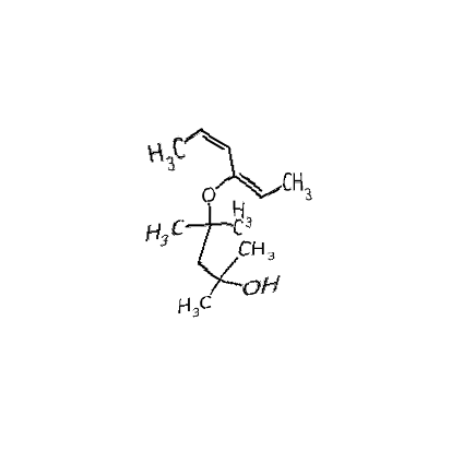 C/C=C\C(=C/C)OC(C)(C)CC(C)(C)O